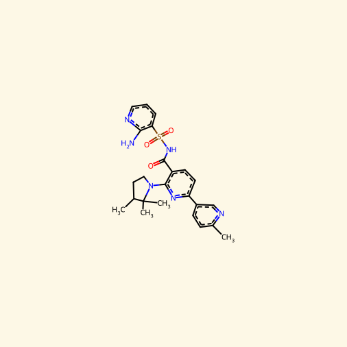 Cc1ccc(-c2ccc(C(=O)NS(=O)(=O)c3cccnc3N)c(N3CCC(C)C3(C)C)n2)cn1